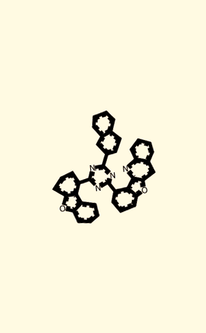 c1ccc2cc(-c3nc(-c4cccc5oc6ccccc6c45)nc(-c4cccc5oc6cc7ccccc7nc6c45)n3)ccc2c1